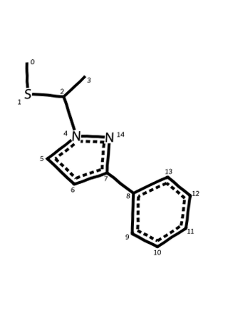 CSC(C)n1ccc(-c2ccccc2)n1